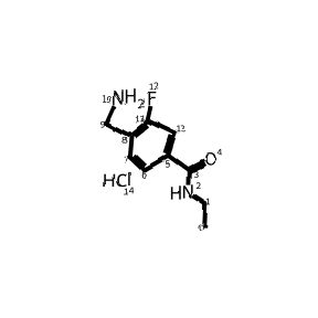 CCNC(=O)c1ccc(CN)c(F)c1.Cl